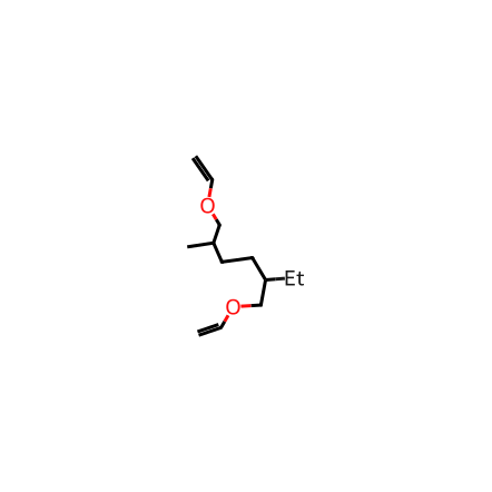 C=COCC(C)CCC(CC)COC=C